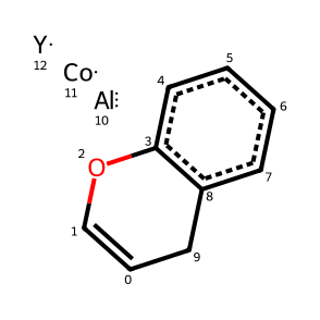 C1=COc2ccccc2C1.[Al].[Co].[Y]